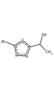 CC(C)c1nnc(C(C)S)s1